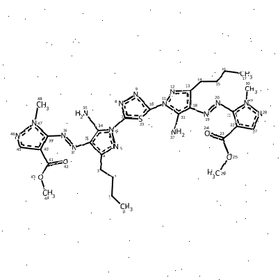 CCCCc1nn(-c2nnc(-n3nc(CCCC)c(/N=N/c4c(C(=O)OC)cnn4C)c3N)s2)c(N)c1/N=N/c1c(C(=O)OC)cnn1C